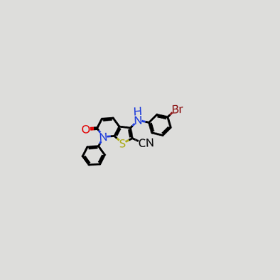 N#Cc1sc2c(ccc(=O)n2-c2ccccc2)c1Nc1cccc(Br)c1